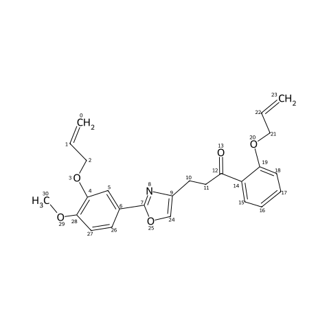 C=CCOc1cc(-c2nc(CCC(=O)c3ccccc3OCC=C)co2)ccc1OC